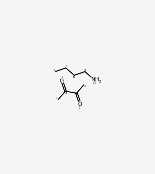 CC(=O)C(C)=O.CCCCN